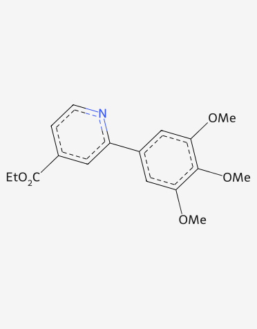 CCOC(=O)c1ccnc(-c2cc(OC)c(OC)c(OC)c2)c1